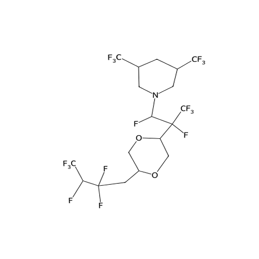 FC(C(F)(F)F)C(F)(F)CC1COC(C(F)(C(F)N2CC(C(F)(F)F)CC(C(F)(F)F)C2)C(F)(F)F)CO1